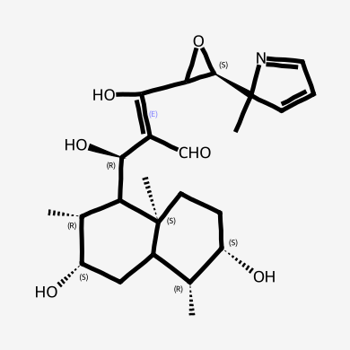 C[C@@H]1C2C[C@H](O)[C@H](C)C([C@@H](O)/C(C=O)=C(\O)C3O[C@H]3C3(C)C=CC=N3)[C@@]2(C)CC[C@@H]1O